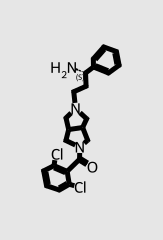 N[C@@H](CCN1CC2CN(C(=O)c3c(Cl)cccc3Cl)CC2C1)c1ccccc1